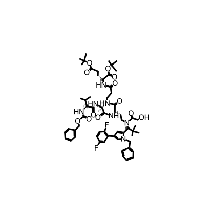 CC(C)[C@H](NC(=O)OCc1ccccc1)C(=O)N[C@@H](C)C(=O)N[C@@H](CCN(C(=O)CO)[C@@H](c1cc(-c2cc(F)ccc2F)cn1Cc1ccccc1)C(C)(C)C)C(=O)NCCC(=O)N[C@H](CCC(=O)OC(C)(C)C)C(=O)OC(C)(C)C